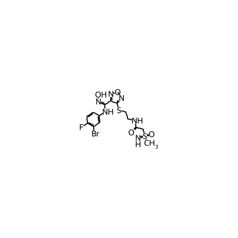 CS(=N)(=O)CC(=O)NCCSc1nonc1/C(=N\O)Nc1ccc(F)c(Br)c1